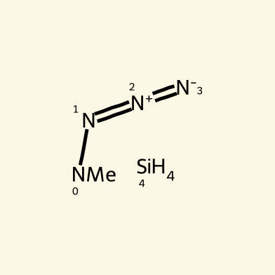 CNN=[N+]=[N-].[SiH4]